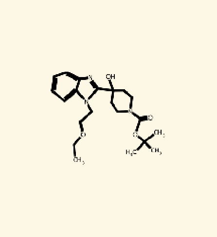 CCOCCn1c(C2(O)CCN(C(=O)OC(C)(C)C)CC2)nc2ccccc21